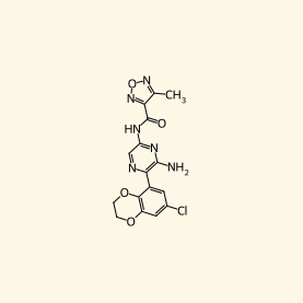 Cc1nonc1C(=O)Nc1cnc(-c2cc(Cl)cc3c2OCCO3)c(N)n1